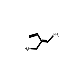 C=C/C(=C\N)CN